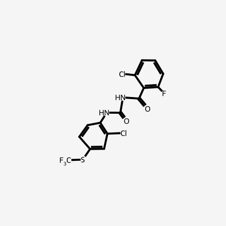 O=C(NC(=O)c1c(F)cccc1Cl)Nc1ccc(SC(F)(F)F)cc1Cl